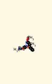 CCC(=C(C(=O)Nc1ccc(OCCN(C)C)cc1)c1ccc(OCOC)cc1)c1ccc2ccccc2c1